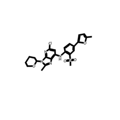 Cc1ccc(-c2ccc(Nc3cc(Cl)nc4c3nc(C)n4C3CCCCO3)c(S(C)(=O)=O)c2)o1